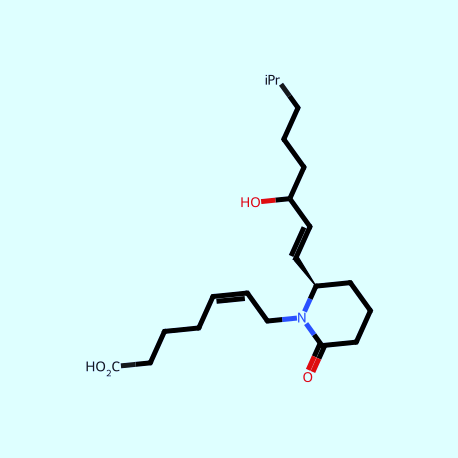 CC(C)CCCC(O)/C=C/[C@H]1CCCC(=O)N1C/C=C\CCCC(=O)O